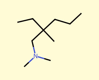 CCCC(C)(CC)CN(C)C